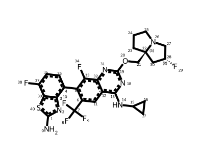 Nc1nc2c(-c3c(C(F)(F)F)cc4c(NC5CC5)nc(OC[C@@]56CCCN5C[C@H](F)C6)nc4c3F)ccc(F)c2s1